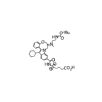 CN(CCNC(=O)OC(C)(C)C)[C@H]1COc2ccccc2-c2c(C3CCCCC3)c3ccc(C(=O)NS(=O)(=O)CCCC(=O)O)cc3n2C1